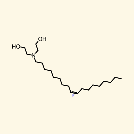 CCCCCCCC/C=C\CCCCCCC[CH]N(CCO)CCO